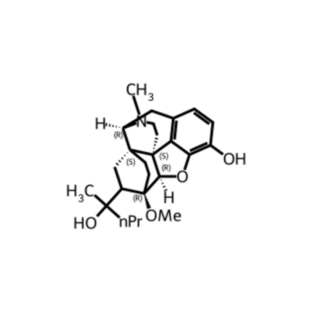 CCCC(C)(O)C1C[C@@]23CC[C@]1(OC)[C@@H]1Oc4c(O)ccc5c4[C@@]12CCN(C)[C@@H]3C5